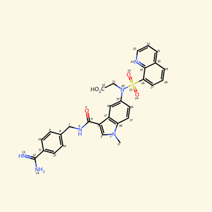 Cn1cc(C(=O)NCc2ccc(C(=N)N)cc2)c2cc(N(CC(=O)O)S(=O)(=O)c3cccc4cccnc34)ccc21